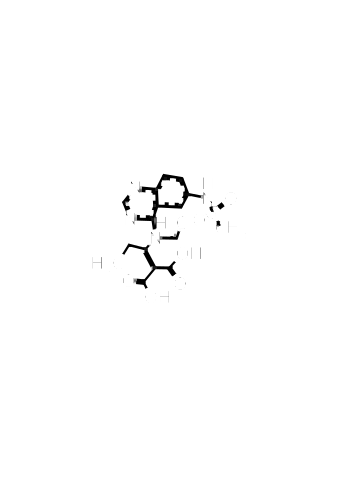 CCC(=C(C(=O)O)C(=O)O)N(CC)c1ncnc2ccc(NS(C)(=O)=O)cc12